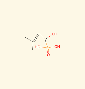 CC(C)=CC(O)P(=O)(O)O